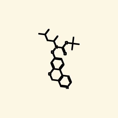 CC(C)CC(C)N(Oc1ccc2c(c1)OCc1cnccc1-2)C(=O)OC(C)(C)C